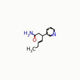 CC/C=C/C(CC(N)=O)c1cccnc1